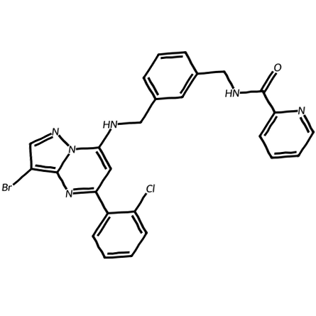 O=C(NCc1cccc(CNc2cc(-c3ccccc3Cl)nc3c(Br)cnn23)c1)c1ccccn1